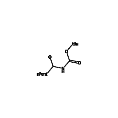 CCCCCC([O])NC(=O)OC(C)(C)C